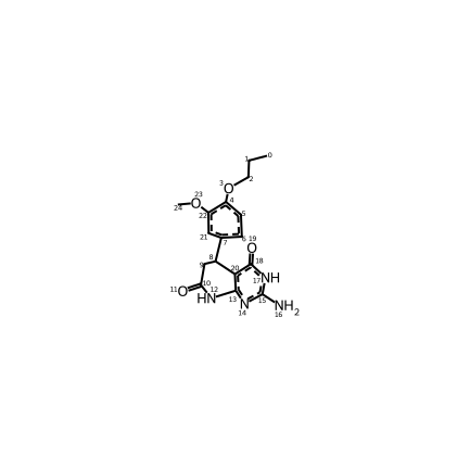 CCCOc1ccc(C2CC(=O)Nc3nc(N)[nH]c(=O)c32)cc1OC